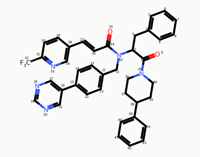 O=C(C(Cc1ccccc1)N(Cc1ccc(-c2cncnc2)cc1)C(=O)C=Cc1ccc(C(F)(F)F)nc1)N1CCC(c2ccccc2)CC1